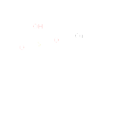 O=S(=O)(O)Cc1ccccc1.[Cu]